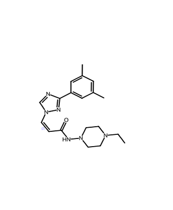 CCN1CCN(NC(=O)/C=C\n2cnc(-c3cc(C)cc(C)c3)n2)CC1